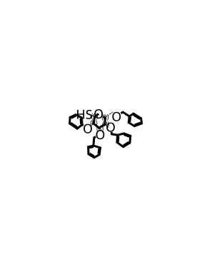 S[C@@H]1O[C@H](COCc2ccccc2)[C@@H](OCc2ccccc2)[C@H](OCc2ccccc2)[C@H]1Oc1ccccc1